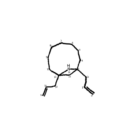 C=CCC12CCCCCCCC(CC=C)(C1)N2